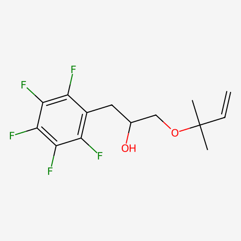 C=CC(C)(C)OCC(O)Cc1c(F)c(F)c(F)c(F)c1F